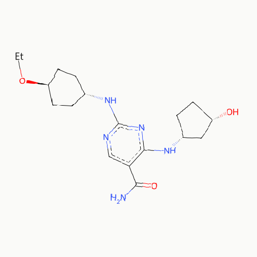 CCO[C@H]1CC[C@H](Nc2ncc(C(N)=O)c(N[C@@H]3CC[C@H](O)C3)n2)CC1